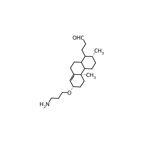 C[C@@H]1CCC2C(CCC3=C[C@@H](OCCCN)CC[C@@]32C)C1CCC=O